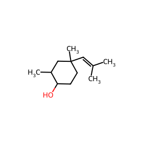 CC(C)=CC1(C)CCC(O)C(C)C1